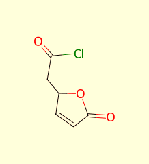 O=C(Cl)CC1C=CC(=O)O1